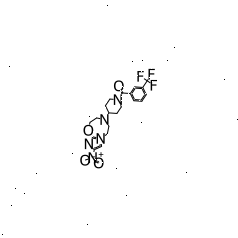 O=C(c1cccc(C(F)(F)F)c1)N1CCC(N2CCOc3nc([N+](=O)[O-])cn3CC2)CC1